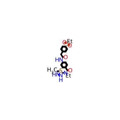 CCN(C(=O)c1ccc(NC(=O)Cc2ccc(S(=O)(=O)CC)cc2)cc1)C1NNC(C)S1